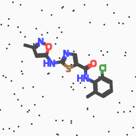 Cc1cc(Nc2ncc(C(=O)Nc3c(C)cccc3Cl)s2)on1